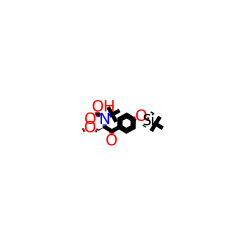 COC[C@@H](C(=O)c1ccc(O[Si](C)(C)C(C)(C)C)cc1)N(C(=O)O)C(C)(C)C